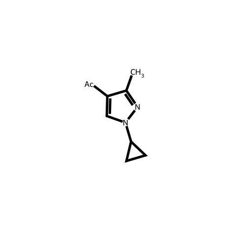 CC(=O)c1cn(C2CC2)nc1C